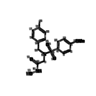 COc1ccc(S(=O)(=O)N(CC(=O)NO)Cc2ccc(C)cc2)cc1